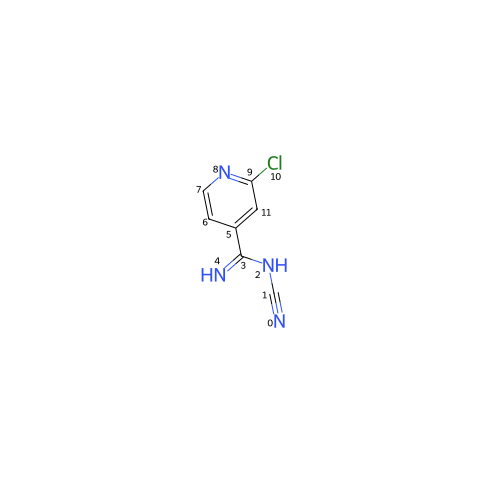 N#CNC(=N)c1ccnc(Cl)c1